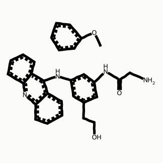 COc1ccccc1.NCC(=O)Nc1cc(CCO)cc(Nc2c3ccccc3nc3ccccc23)c1